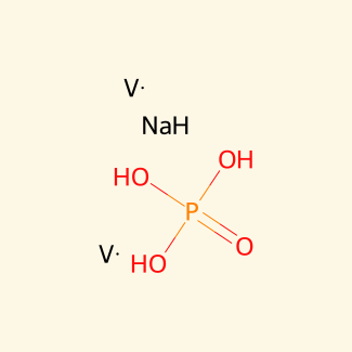 O=P(O)(O)O.[NaH].[V].[V]